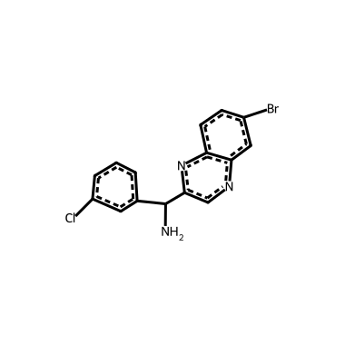 NC(c1cccc(Cl)c1)c1cnc2cc(Br)ccc2n1